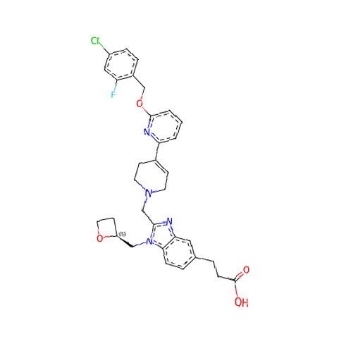 O=C(O)CCc1ccc2c(c1)nc(CN1CC=C(c3cccc(OCc4ccc(Cl)cc4F)n3)CC1)n2C[C@@H]1CCO1